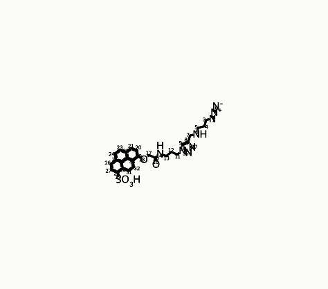 [N-]=[N+]=NCCCNCc1cn(CCCNC(=O)COc2ccc3ccc4ccc(S(=O)(=O)O)c5ccc2c3c45)nn1